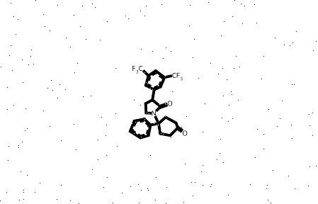 O=C1CCC(c2ccccc2)(N2CCC(c3cc(C(F)(F)F)cc(C(F)(F)F)c3)C2=O)CC1